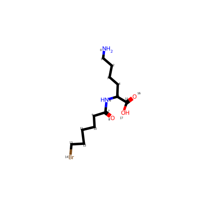 NCCCCC(NC(=O)CCCCCBr)C(=O)O